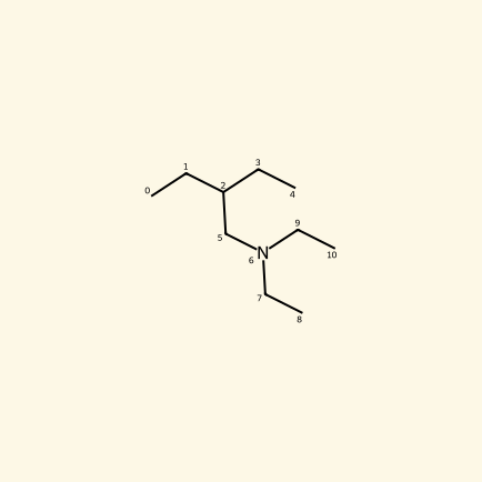 CCC(CC)CN(CC)CC